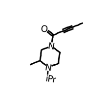 CC#CC(=O)N1CCN(C(C)C)C(C)C1